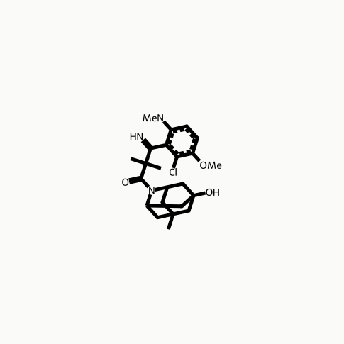 CNc1ccc(OC)c(Cl)c1C(=N)C(C)(C)C(=O)N1C2CC3(C)CC1CC(O)(C2)C3